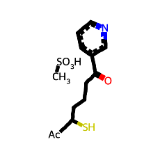 CC(=O)C(S)CCCC(=O)c1cccnc1.CS(=O)(=O)O